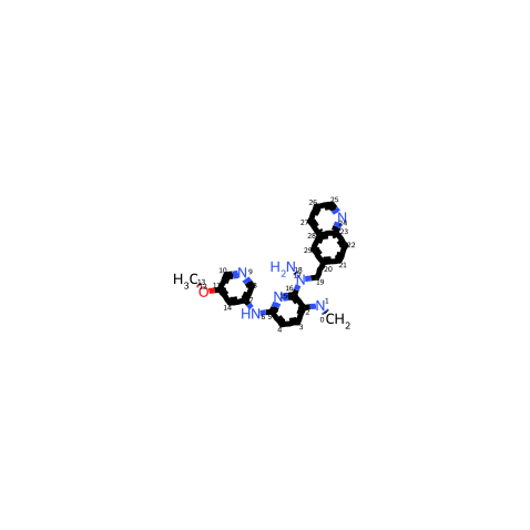 C=Nc1ccc(Nc2cncc(OC)c2)nc1N(N)Cc1ccc2ncccc2c1